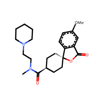 COc1ccc2c(c1)C(=O)O[C@]21CC[C@H](C(=O)N(C)CCN2CCCCC2)CC1